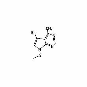 Cc1ncnc2c1c(Br)cn2SI